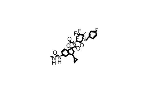 CNC(=O)Nc1ccc2c(c1)C(C1CC1)CC21OC(=O)N(CC(=O)N(Cc2ccc(F)cc2)[C@@H](C)C(F)(F)F)C1=O